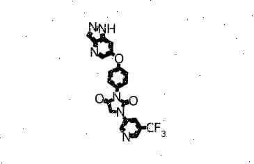 O=C1CN(c2cncc(C(F)(F)F)c2)C(=O)N1c1ccc(Oc2cnc3cn[nH]c3c2)cc1